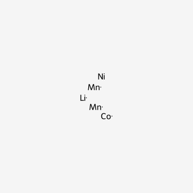 [Co].[Li].[Mn].[Mn].[Ni]